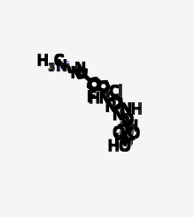 C/N=C/Cn1cc(-c2cc(F)c3c(c2)CC[C@@H]3Nc2nc3nc(O[C@@H]4CO[C@H]5[C@@H]4OC[C@H]5O)[nH]c3cc2Cl)cn1